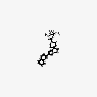 CC(C)(C)OC(=O)N1CCC2(CC1)CCn1nc(-c3cnc4ccccc4c3)cc12